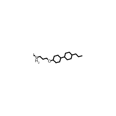 CCCC1CCC(C2CCC(OCCC[SiH2]I)CC2)CC1